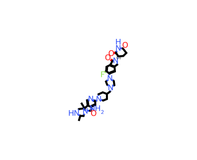 CC1CN(C(N)=O)C(C)(c2ccc(N3CCC(CN4CCN(c5cc6c(cc5F)C(=O)N([C@H]5CCC(=O)NC5=O)C6)CC4)CC3)nc2)CN1